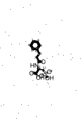 O=C(CCc1ccccc1)N[C@@H](CS(=O)(=O)O)C(=O)O